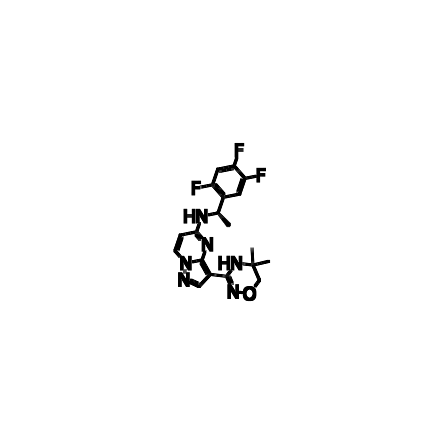 C[C@@H](Nc1ccn2ncc(C3=NOCC(C)(C)N3)c2n1)c1cc(F)c(F)cc1F